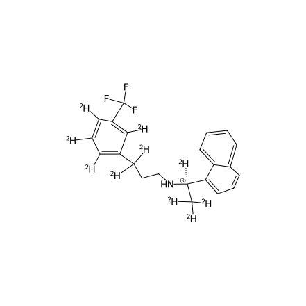 [2H]c1c([2H])c(C(F)(F)F)c([2H])c(C([2H])([2H])CCN[C@@]([2H])(c2cccc3ccccc23)C([2H])([2H])[2H])c1[2H]